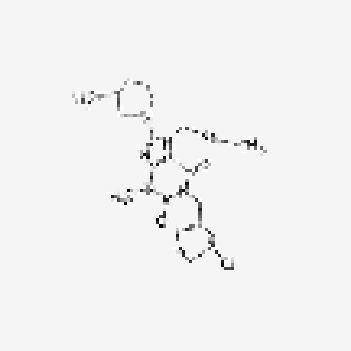 CC#CCn1c(N2CCCC(N)C2)nc2c1c(=O)n(Cc1cccc(Cl)c1)c(=O)n2C